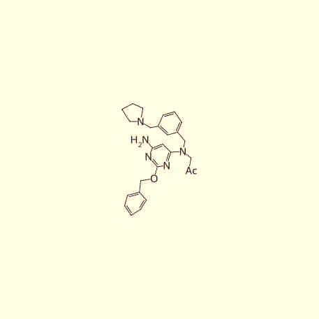 CC(=O)CN(Cc1cccc(CN2CCCC2)c1)c1cc(N)nc(OCc2ccccc2)n1